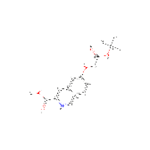 COC(=O)c1cc2cc(OCC(=O)OC(C)(C)C)ccc2cn1